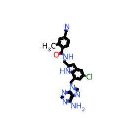 Cc1cc(C#N)ccc1C(=O)NCc1cc2cc(Cl)cc(Cn3cnc4c(N)ncnc43)c2[nH]1